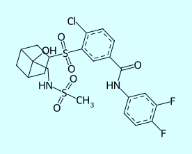 CS(=O)(=O)NCC1(O)C2CC1CC(S(=O)(=O)c1cc(C(=O)Nc3ccc(F)c(F)c3)ccc1Cl)C2